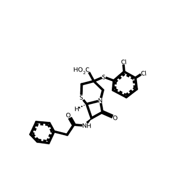 O=C(Cc1ccccc1)N[C@@H]1C(=O)N2CC(Sc3cccc(Cl)c3Cl)(C(=O)O)CS[C@H]12